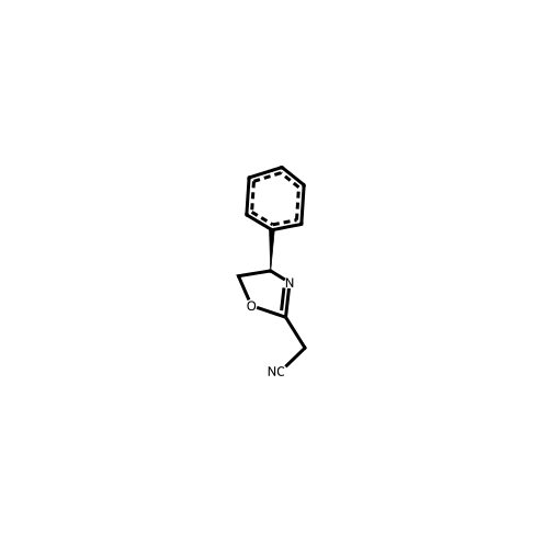 N#CCC1=N[C@H](c2ccccc2)CO1